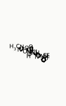 Cc1ncc(OC(=O)N[C@@]2(C(=O)NCc3ncc(Nc4ccccc4C(F)(F)F)cc3Cl)CCOC2)cn1